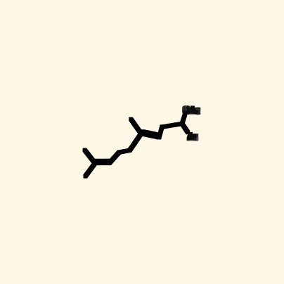 CC(=O)OC(C/C=C(\C)CCC=C(C)C)C(C)=O